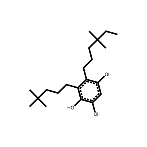 CCC(C)(C)CCCc1c(O)cc(O)c(O)c1CCCC(C)(C)C